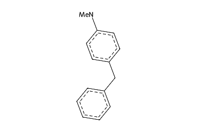 CNc1ccc(Cc2ccccc2)cc1